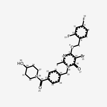 Cc1nc(OCc2ccc(F)cc2F)c(Br)c(=O)n1Cc1ccc(C(=O)N2CCC(O)CC2)cc1